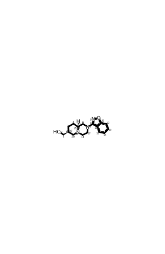 OC[C@H]1CC[C@H]2CN(c3noc4ccccc34)CCN2C1